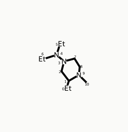 CCC1CN(N(CC)CC)CCN1C